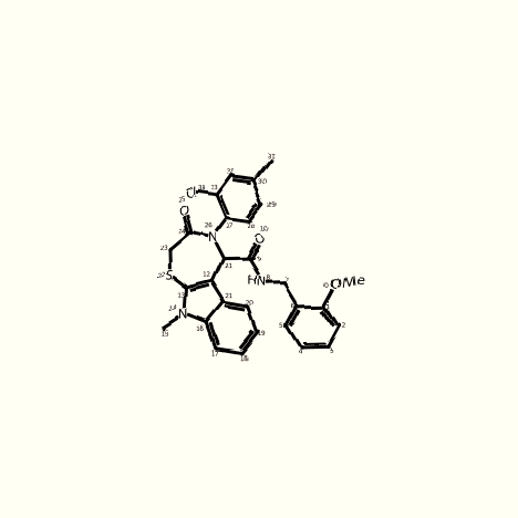 COc1ccccc1CNC(=O)C1c2c(n(C)c3ccccc23)SCC(=O)N1c1ccc(C)cc1Cl